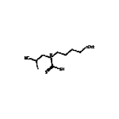 CCCCCCCCCCCC[SH](CC(C)C#N)C(=S)S